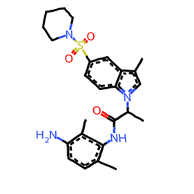 Cc1ccc(N)c(C)c1NC(=O)C(C)n1cc(C)c2cc(S(=O)(=O)N3CCCCC3)ccc21